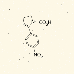 O=C(O)N1CCC=C1c1ccc([N+](=O)[O-])cc1